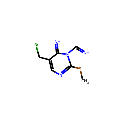 CSc1ncc(CBr)c(=N)n1C=N